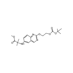 COC(=O)C(C)(C)Nc1ccc2nc(OCCOC(=O)OC(C)(C)C)ncc2c1